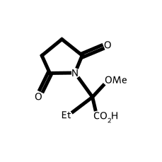 CCC(OC)(C(=O)O)N1C(=O)CCC1=O